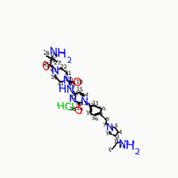 CC(N)[C@@H]1CCN(CCc2ccc(-n3ccc(NC(=O)N4CCN(C(=O)C(C)(C)N)CC4)nc3=O)cc2)C1.Cl